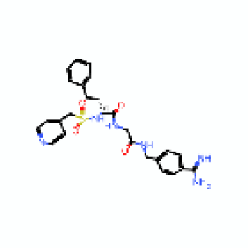 N=C(N)c1ccc(CNC(=O)CNC(=O)[C@@H](CCc2ccccc2)NS(=O)(=O)Cc2ccncc2)cc1